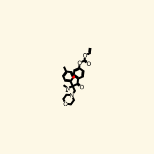 C=COC(=O)Oc1ccc(C(=O)C(CN2CCOCC2)(c2ccc(C)cc2)N(C)C)cc1